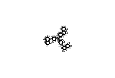 c1ccc2c(-c3ccc(N(c4ccc(-c5cccc6ccccc56)cc4)c4ccc5c(ccc6ccccc65)c4)cc3)cccc2c1